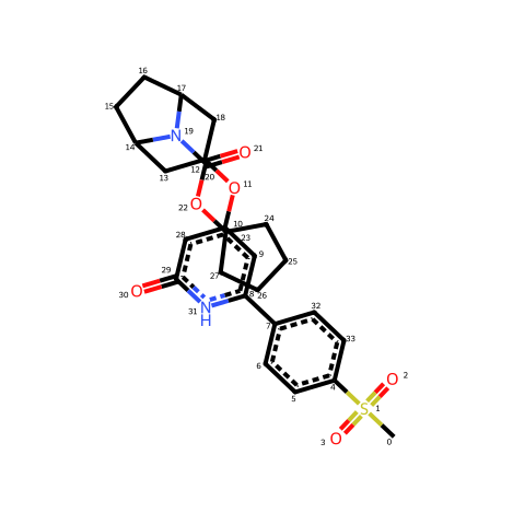 CS(=O)(=O)c1ccc(-c2cc(OC3CC4CCC(C3)N4C(=O)OC3CCCC3)cc(=O)[nH]2)cc1